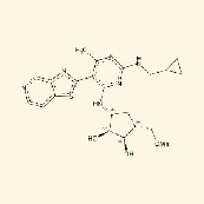 COC[C@H]1C[C@@H](Nc2nc(NCC3CC3)nc(C)c2-c2nc3cnccc3s2)[C@H](O)[C@@H]1O